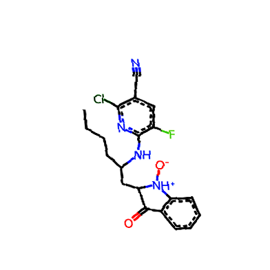 CCCCC(CC1C(=O)c2ccccc2[NH+]1[O-])Nc1nc(Cl)c(C#N)cc1F